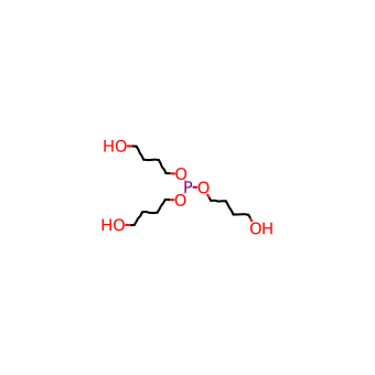 OCCCCOP(OCCCCO)OCCCCO